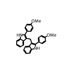 COc1ccc(-c2[nH]c3ccccc3c2Cc2c(-c3ccc(OC)cc3)[nH]c3ccccc23)cc1